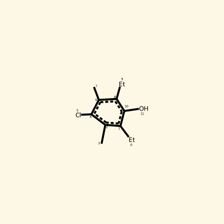 CCc1c(C)c(Cl)c(C)c(CC)c1O